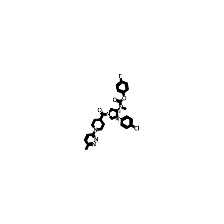 Cc1ccc(N2CCC(C(=O)N3C[C@@H](N(C)C(=O)Oc4ccc(F)cc4)[C@H](c4ccc(Cl)cc4)C3)CC2)nn1